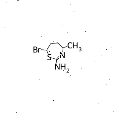 CC1CCC(Br)SC(N)=N1